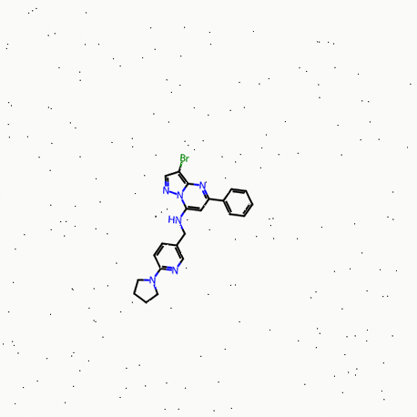 Brc1cnn2c(NCc3ccc(N4CCCC4)nc3)cc(-c3ccccc3)nc12